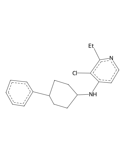 CCc1nccc(NC2CCC(c3ccccc3)CC2)c1Cl